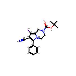 CC(C)(C)OC(=O)N1CCn2c(c(I)c(C#N)c2-c2ccccc2)C1